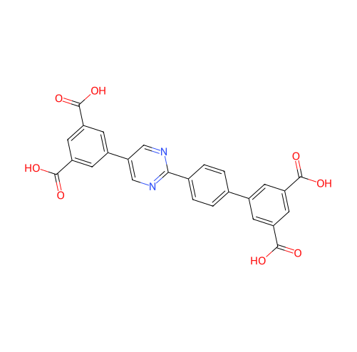 O=C(O)c1cc(C(=O)O)cc(-c2ccc(-c3ncc(-c4cc(C(=O)O)cc(C(=O)O)c4)cn3)cc2)c1